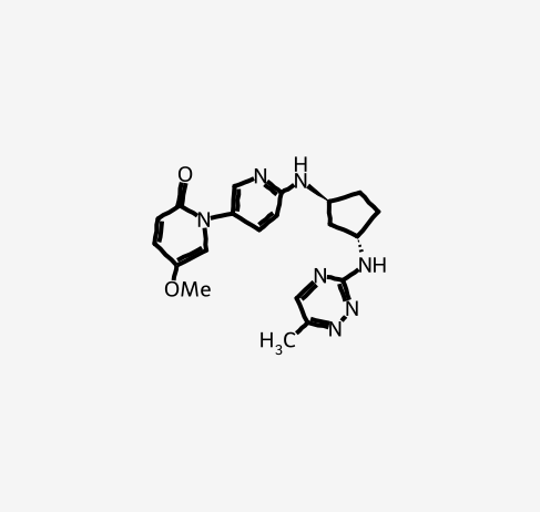 COc1ccc(=O)n(-c2ccc(N[C@H]3CC[C@H](Nc4ncc(C)nn4)C3)nc2)c1